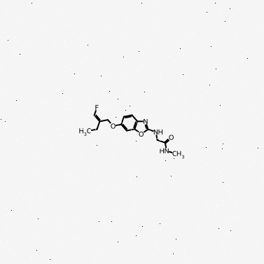 CC/C(=C/F)COc1ccc2nc(NCC(=O)NC)oc2c1